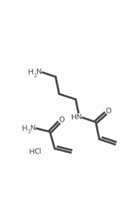 C=CC(=O)NCCCN.C=CC(N)=O.Cl